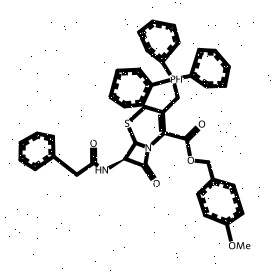 COc1ccc(COC(=O)C2=C(C[PH](c3ccccc3)(c3ccccc3)c3ccccc3)CSC3[C@H](NC(=O)Cc4ccccc4)C(=O)N23)cc1